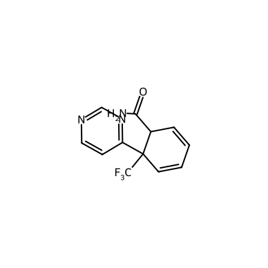 NC(=O)C1C=CC=CC1(c1ccncn1)C(F)(F)F